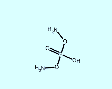 NOP(=O)(O)ON